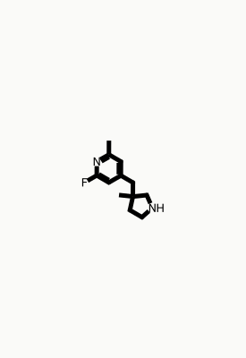 Cc1cc(CC2(C)CCNC2)cc(F)n1